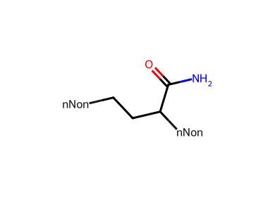 CCCCCCCCCCCC(CCCCCCCCC)C(N)=O